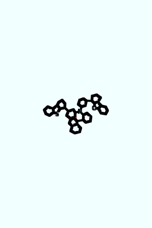 c1cc(-c2cccc3c2oc2ccccc23)cc(N(c2cccc(-c3cccc4c3sc3ccccc34)c2)c2ccccc2-c2cccc3ccccc23)c1